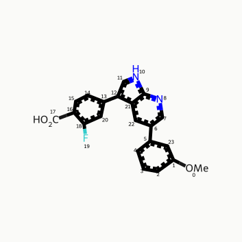 COc1cccc(-c2cnc3[nH]cc(-c4ccc(C(=O)O)c(F)c4)c3c2)c1